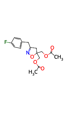 CC(=O)OCC1(COC(C)=O)CC(Cc2ccc(F)cc2)=NO1